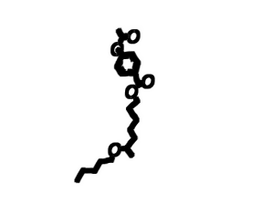 CCCCCOC(C)CCCCCOC(=O)c1ccc(OC(C)=O)cc1